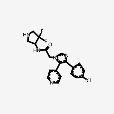 O=C(Cn1cnc(-c2ccc(Cl)cc2)c1-c1ccncc1)NC1CNCC1(F)F